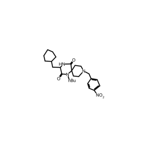 CCCCN1C(=O)C(CC2CCCCC2)NC(=O)C12CCN(Cc1ccc([N+](=O)[O-])cc1)CC2